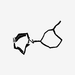 CC1CCCC(n2ccnc2)C1